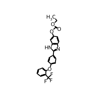 CCOC(=O)Oc1ccc2nc(-c3ccc(Oc4ccccc4C(F)(F)F)cc3)[nH]c2c1